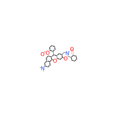 CN(Cc1ccccc1B=O)Cc1cc2c(-c3ccccc3OC=O)c3ccc4cc(N(C)C)ccc4c3oc-2cc1=O